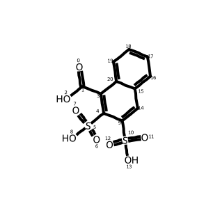 O=C(O)c1c(S(=O)(=O)O)c(S(=O)(=O)O)cc2ccccc12